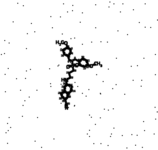 COc1ccc(CN(Cc2ccc(OC)cc2)S(=O)(=O)CCCNc2cc3ccc(C#N)cc3cn2)cc1